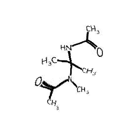 CC(=O)NC(C)(C)N(C)C(C)=O